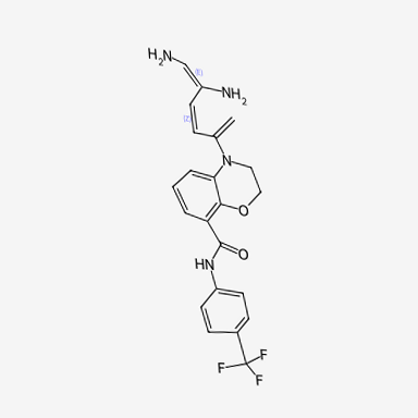 C=C(/C=C\C(N)=C/N)N1CCOc2c(C(=O)Nc3ccc(C(F)(F)F)cc3)cccc21